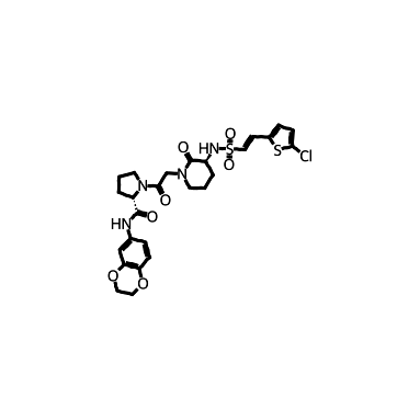 O=C(Nc1ccc2c(c1)OCCO2)[C@@H]1CCCN1C(=O)CN1CCC[C@H](NS(=O)(=O)/C=C/c2ccc(Cl)s2)C1=O